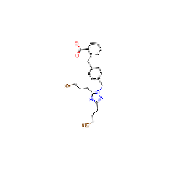 O=C(O)c1ccccc1Cc1ccc(Cn2nc(CCCS)nc2CCCS)cc1